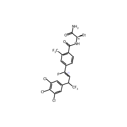 CC[C@@H](NC(=O)c1ccc(/C(F)=C/C(c2cc(Cl)c(Cl)c(Cl)c2)C(F)(F)F)cc1C(F)(F)F)C(N)=O